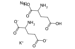 NC(CCC(=O)O)C(=O)O.NC(CCC(=O)[O-])C(=O)[O-].[K+].[Na+]